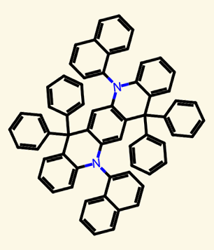 c1ccc(C2(c3ccccc3)c3ccccc3N(c3cccc4ccccc34)c3cc4c(cc32)N(c2cccc3ccccc23)c2ccccc2C4(c2ccccc2)c2ccccc2)cc1